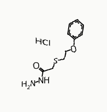 Cl.NNC(=O)CSCCOc1ccccc1